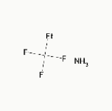 CCC(F)(F)F.N